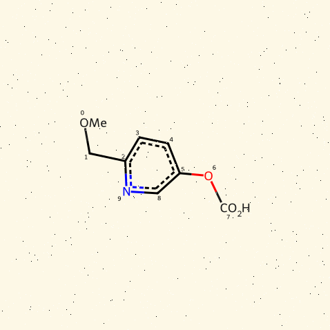 COCc1ccc(OC(=O)O)cn1